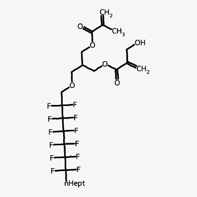 C=C(C)C(=O)OCC(COCC(F)(F)C(F)(F)C(F)(F)C(F)(F)C(F)(F)C(F)(F)CCCCCCC)COC(=O)C(=C)CO